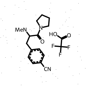 CNC(Cc1ccc(C#N)cc1)C(=O)N1CCCC1.O=C(O)C(F)(F)F